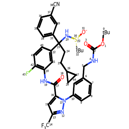 CC(C)(C)OC(=O)NCc1cccc(-n2nc(C(F)(F)F)cc2C(=O)Nc2cc(C(CCC3CC3)(N[S@+]([O-])C(C)(C)C)c3cccc(C#N)c3)ccc2F)c1